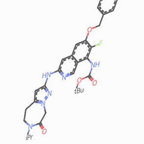 CC(C)N1CCc2cc(Nc3cc4cc(OCc5ccccc5)c(F)c(NC(=O)OC(C)(C)C)c4cn3)nn2CC1=O